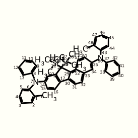 Cc1ccccc1N(c1ccccc1)c1ccc2c(c1)C([Si](C)(C)C)([Si](C)(C)C)c1c-2ccc2cc(N(c3ccccc3)c3ccccc3C)ccc12